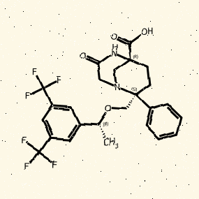 C[C@@H](OC[C@@]1(c2ccccc2)CC[C@]2(C(=O)O)CN1CC(=O)N2)c1cc(C(F)(F)F)cc(C(F)(F)F)c1